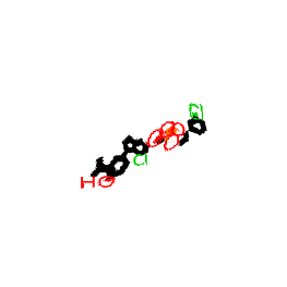 CC(C)c1cc(C2CCc3cc(OC[P@]4(=O)OCC[C@@H](c5cccc(Cl)c5)O4)cc(Cl)c32)ccc1O